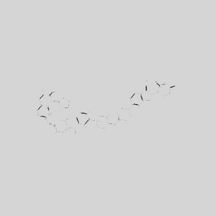 O=C1CCC(N2Cc3cc(N4CCC(CN5CCN(c6cccc([S+]([O-])N7CCC(Nc8ncc9ccc(=O)n(C%10CCCC%10)c9n8)CC7)c6)CC5)CC4)ccc3C2=O)C(=O)N1